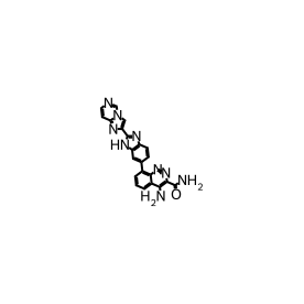 NC(=O)c1nnc2c(-c3ccc4nc(-c5cn6cnccc6n5)[nH]c4c3)cccc2c1N